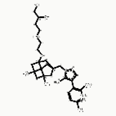 C=C(C)/C=C\C(=C(/C)C(=O)O)c1cnn(CC23CC4(C)CC5(C)CC(OCCNCCC(O)CO)(C2)C45C3)c1C